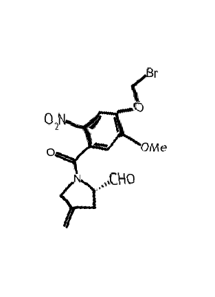 C=C1C[C@@H](C=O)N(C(=O)c2cc(OC)c(OCBr)cc2[N+](=O)[O-])C1